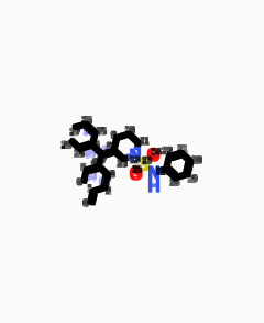 C=C\C=C/C(=C\C)C(=C1/CCCN(S(=O)(=O)Nc2ccccc2)C1)/C(/C=C\C)=C/C